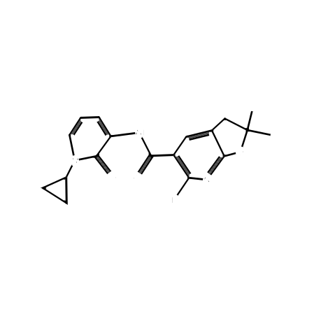 CC1(C)Cc2cc(C(=O)Nc3cccn(C4CC4)c3=O)c(F)nc2O1